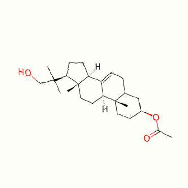 CC(=O)O[C@H]1CC[C@@]2(C)C(CC=C3[C@@H]4CC[C@H](C(C)(C)CO)[C@@]4(C)CC[C@@H]32)C1